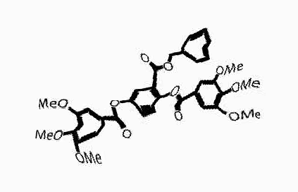 COc1cc(C(=O)Oc2ccc(OC(=O)c3cc(OC)c(OC)c(OC)c3)c(C(=O)OCc3ccccc3)c2)cc(OC)c1OC